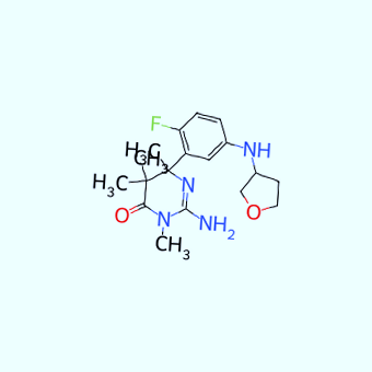 CN1C(=O)C(C)(C)C(C)(c2cc(NC3CCOC3)ccc2F)N=C1N